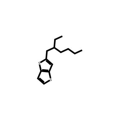 CCCCC(CC)Cc1cc2sccc2s1